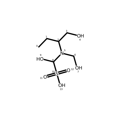 CCC(CO)N(CO)C(O)S(=O)(=O)O